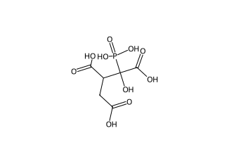 O=C(O)CC(C(=O)O)C(O)(C(=O)O)P(=O)(O)O